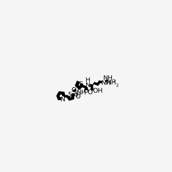 NC(N)NCCC[C@H](NC(=O)c1sccc1NS(=O)(=O)c1ccc(-c2ccccn2)s1)C(=O)O